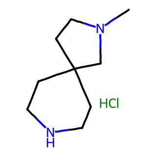 CN1CCC2(CCNCC2)C1.Cl